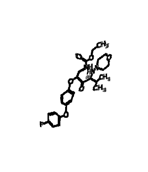 CCOC(=O)NCC(Oc1ccc(Oc2ccc(F)cc2)cc1)C(=O)[C@@H](NN1CCOCC1)C(C)C